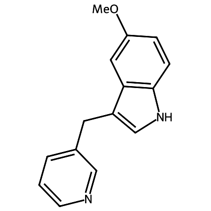 COc1ccc2[nH]cc(Cc3cccnc3)c2c1